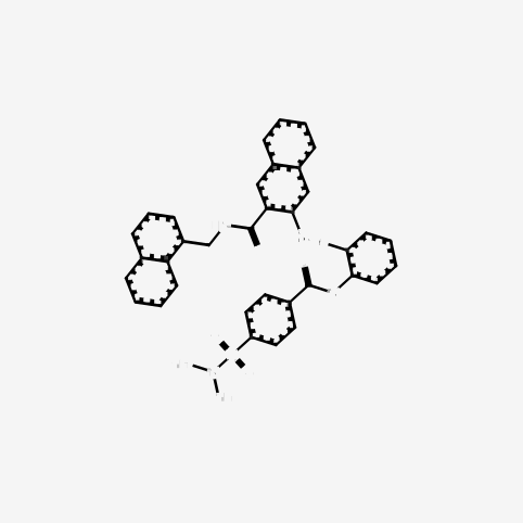 CCCN(CCC)S(=O)(=O)c1ccc(C(=O)Nc2ccccc2C(=O)O)cc1.Nc1cc2ccccc2cc1C(=O)NCc1cccc2ccccc12